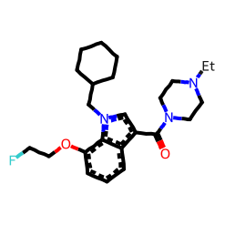 CCN1CCN(C(=O)c2cn(CC3CCCCC3)c3c(OCCF)cccc23)CC1